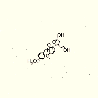 COc1ccc(Cn2c(=O)ccn(C3O[C@H](CO)C[C@@H]3CCO)c2=O)cc1